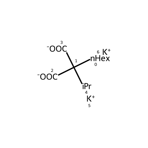 CCCCCCC(C(=O)[O-])(C(=O)[O-])C(C)C.[K+].[K+]